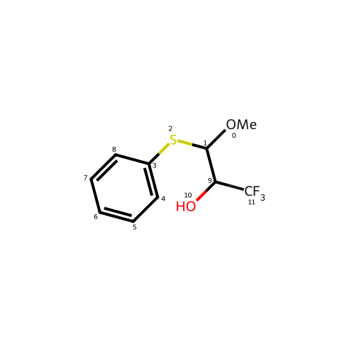 COC(Sc1ccccc1)C(O)C(F)(F)F